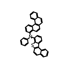 c1ccc(N(c2cccc3c2ccc2ccc4ccccc4c23)c2cccc3c2sc2ccc4ccccc4c23)cc1